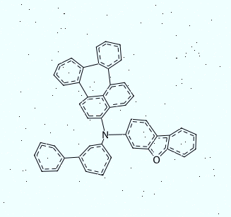 c1ccc(-c2cccc(N(c3ccc4c(c3)oc3ccccc34)c3ccc4c5c(cccc35)-c3ccccc3-c3ccccc3-4)c2)cc1